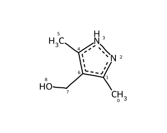 Cc1n[nH]c(C)c1CO